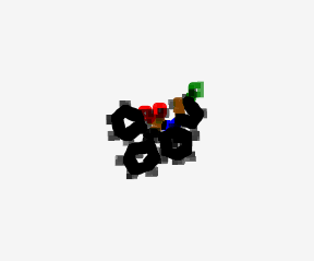 CN(c1ccc(Cl)s1)[S](=O)(=O)[Sn]([c]1ccccc1)([c]1ccccc1)[c]1ccccc1